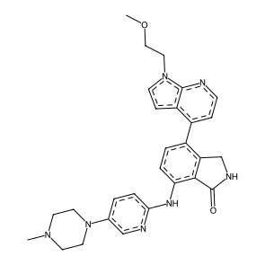 COCCn1ccc2c(-c3ccc(Nc4ccc(N5CCN(C)CC5)cn4)c4c3CNC4=O)ccnc21